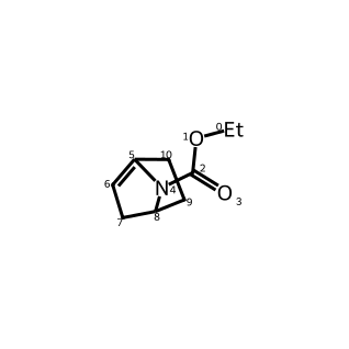 CCOC(=O)N1C2=CCC1CC2